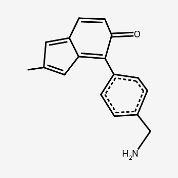 CC1=CC2=C(c3ccc(CN)cc3)C(=O)C=CC2=C1